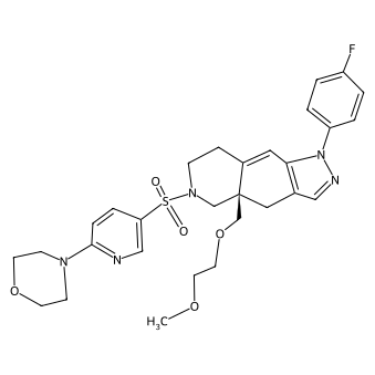 COCCOC[C@]12Cc3cnn(-c4ccc(F)cc4)c3C=C1CCN(S(=O)(=O)c1ccc(N3CCOCC3)nc1)C2